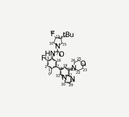 Cc1cc(F)c(NC(=O)N2CC(F)C(C(C)(C)C)C2)cc1-c1cc(N2CCOCC2)c2nccn2c1